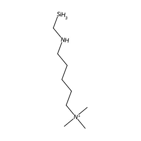 C[N+](C)(C)CCCCCNC[SiH3]